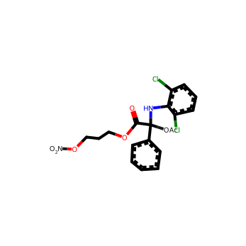 CC(=O)OC(Nc1c(Cl)cccc1Cl)(C(=O)OCCCO[N+](=O)[O-])c1ccccc1